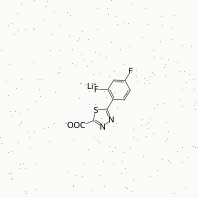 O=C([O-])c1nnc(-c2ccc(F)cc2F)s1.[Li+]